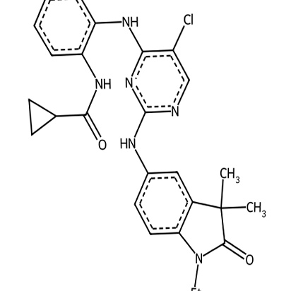 CCN1C(=O)C(C)(C)c2cc(Nc3ncc(Cl)c(Nc4ccccc4NC(=O)C4CC4)n3)ccc21